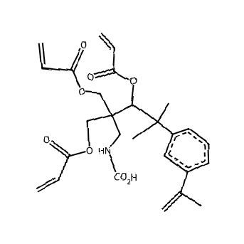 C=CC(=O)OCC(CNC(=O)O)(COC(=O)C=C)C(OC(=O)C=C)C(C)(C)c1cccc(C(=C)C)c1